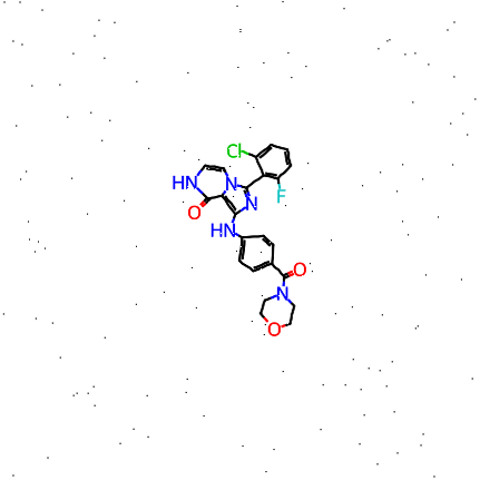 O=C(c1ccc(Nc2nc(-c3c(F)cccc3Cl)n3cc[nH]c(=O)c23)cc1)N1CCOCC1